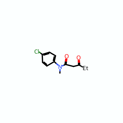 CCC(=O)CC(=O)N(C)c1ccc(Cl)cc1